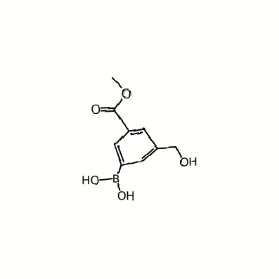 COC(=O)c1cc(CO)cc(B(O)O)c1